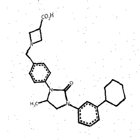 CC1CN(c2cccc(C3CCCCC3)c2)C(=O)N1c1ccc(CN2CC(C(=O)O)C2)cc1